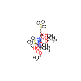 C=CCOC(=O)C[C@H](O)[C@H](NC(=O)[C@@H](CSC(c1ccccc1)(c1ccccc1)c1ccccc1)NC(=O)[C@@H](CCC(=O)OC(C)(C)C)NC(=O)C[C@H](O)C=CCCSC(c1ccccc1)(c1ccccc1)c1ccccc1)C(C)C